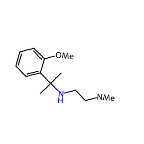 CNCCNC(C)(C)c1ccccc1OC